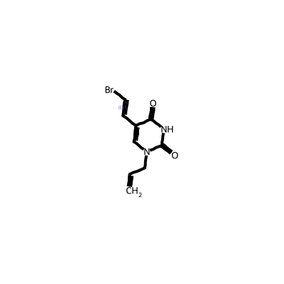 C=CCn1cc(/C=C/Br)c(=O)[nH]c1=O